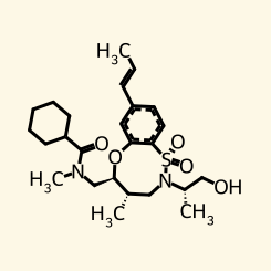 CC=Cc1ccc2c(c1)O[C@H](CN(C)C(=O)C1CCCCC1)[C@@H](C)CN([C@@H](C)CO)S2(=O)=O